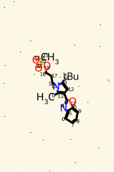 Cc1c(-c2nc3ccccc3o2)cc(C(C)(C)C)n1CCCOS(C)(=O)=O